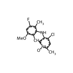 COc1cc(F)c(C)c(Nc2c[n+]([O-])c(C)cc2Cl)c1C